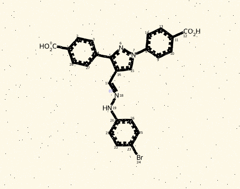 O=C(O)c1ccc(-c2nn(-c3ccc(C(=O)O)cc3)cc2/C=N/Nc2ccc(Br)cc2)cc1